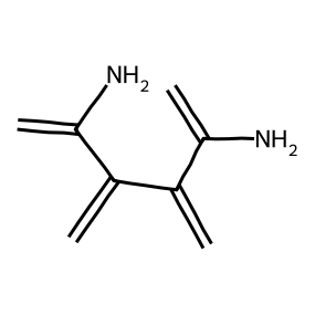 C=C(N)C(=C)C(=C)C(=C)N